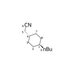 CCCC[C@H]1CC[C@H](CC#N)CC1